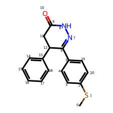 CSc1ccc(C2=NNC(=O)CC2c2ccccc2)cc1